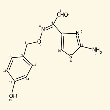 Nc1nc(C([C]=O)=NOCc2ccc(O)cc2)cs1